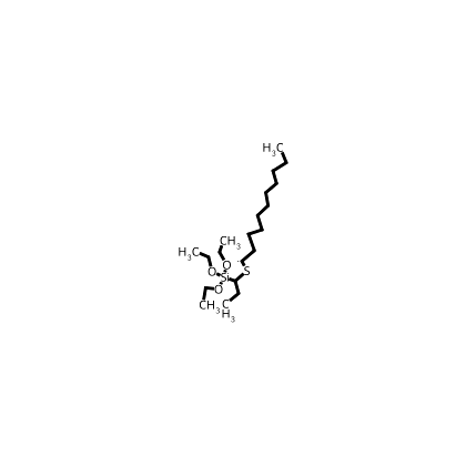 CCCCCCCCCC[CH]SC(CC)[Si](OCC)(OCC)OCC